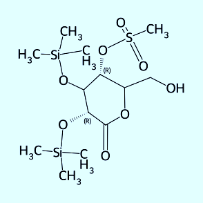 C[Si](C)(C)OC1[C@H](OS(C)(=O)=O)C(CO)OC(=O)[C@@H]1O[Si](C)(C)C